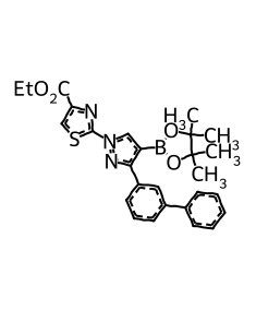 CCOC(=O)c1csc(-n2cc(B3OC(C)(C)C(C)(C)O3)c(-c3cccc(-c4ccccc4)c3)n2)n1